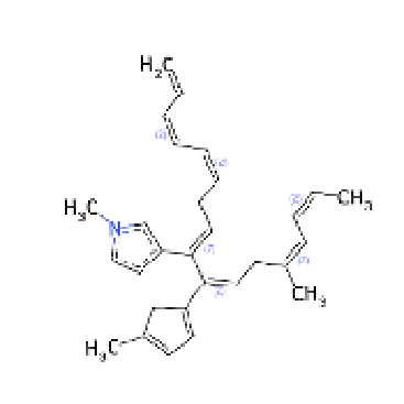 C=C/C=C\C=C/C/C=C(/C(=C\C/C(C)=C\C=C/C)C1=CC=C(C)C1)c1ccn(C)c1